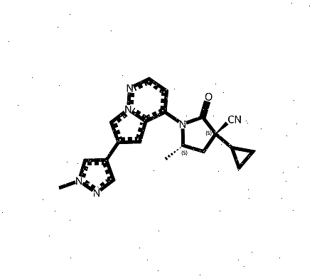 C[C@H]1C[C@@](C#N)(C2CC2)C(=O)N1c1ccnn2cc(-c3cnn(C)c3)cc12